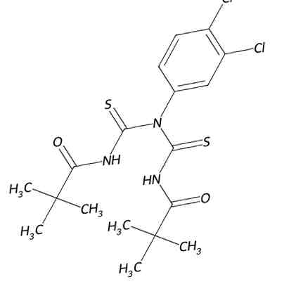 CC(C)(C)C(=O)NC(=S)N(C(=S)NC(=O)C(C)(C)C)c1ccc(Cl)c(Cl)c1